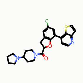 O=C(C1Cc2cc(Cl)cc(-c3ccnc4ccsc34)c2O1)N1CCC(N2CCCC2)CC1